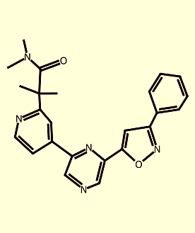 CN(C)C(=O)C(C)(C)c1cc(-c2cncc(-c3cc(-c4ccccc4)no3)n2)ccn1